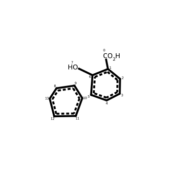 O=C(O)c1ccccc1O.c1ccccc1